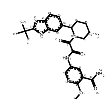 COc1ncc(NC(=O)C(=O)N2C[C@@H](C)CCC2c2ccc3sc(C(F)(F)F)nc3c2)cc1C(N)=O